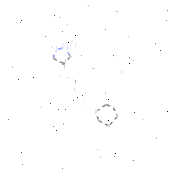 c1ccc(COCCOc2cn[nH]c2)cc1